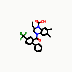 CCC1CN(C(=O)c2cc(C(F)(F)F)ccc2-c2ccccc2)c2cc(C)c(C)cc2N1C(=O)O